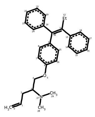 C=CCC(COc1ccc(/C(=C(/CC)c2ccccc2)c2ccccc2)cc1)N(C)C